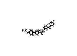 CN1CCC(Oc2cccc(CNC(=O)c3ccc(-c4ccc(CC(F)(F)F)cc4)cc3)c2)CC1